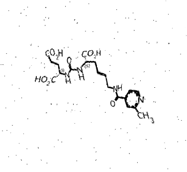 Cc1cc(C(=O)NCCCC[C@H](NC(=O)N[C@@H](CCC(=O)O)C(=O)O)C(=O)O)ccn1